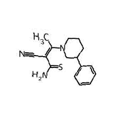 CC(=C(C#N)C(N)=S)N1CCCC(c2ccccc2)C1